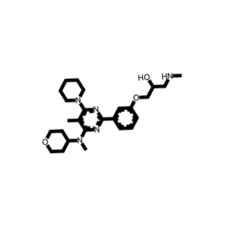 CNCC(O)COc1cccc(-c2nc(N3CCCCC3)c(C)c(N(C)C3CCOCC3)n2)c1